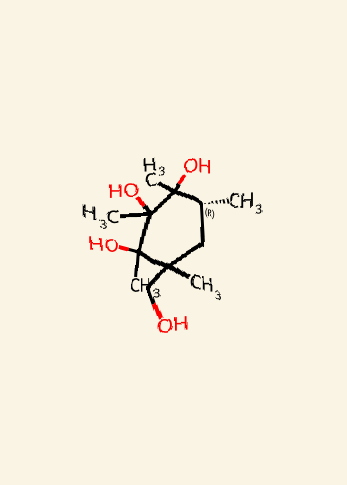 C[C@@H]1CC(C)(CO)C(C)(O)C(C)(O)C1(C)O